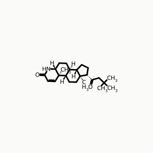 CC(C)(C)CC(=O)[C@H]1CC[C@H]2[C@@H]3CC[C@H]4NC(=O)C=C[C@]4(C)[C@H]3CC[C@]12C